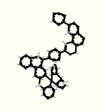 c1ccc(-c2ccc3ccc4c(c3n2)N=C(c2ccc(-c3nc5ccccc5c5cc6c(cc35)C3(c5ccccc5O6)c5ccccc5-c5ccccc53)cc2)CC4)cc1